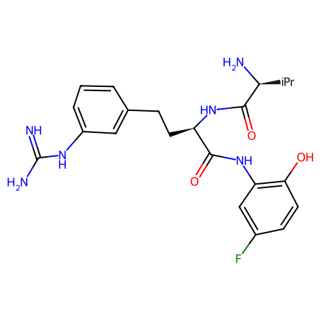 CC(C)[C@H](N)C(=O)N[C@H](CCc1cccc(NC(=N)N)c1)C(=O)Nc1cc(F)ccc1O